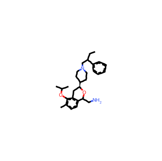 CCC(CN1CCC([C@@H]2Cc3c(ccc(C)c3OC(C)C)C(CN)O2)CC1)c1ccccc1